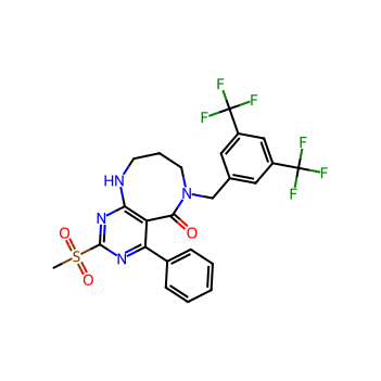 CS(=O)(=O)c1nc2c(c(-c3ccccc3)n1)C(=O)N(Cc1cc(C(F)(F)F)cc(C(F)(F)F)c1)CCCN2